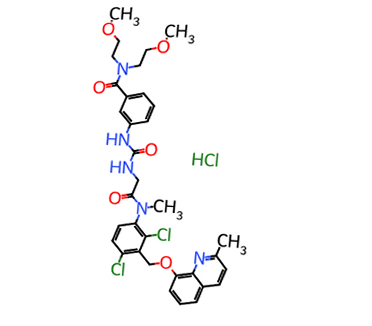 COCCN(CCOC)C(=O)c1cccc(NC(=O)NCC(=O)N(C)c2ccc(Cl)c(COc3cccc4ccc(C)nc34)c2Cl)c1.Cl